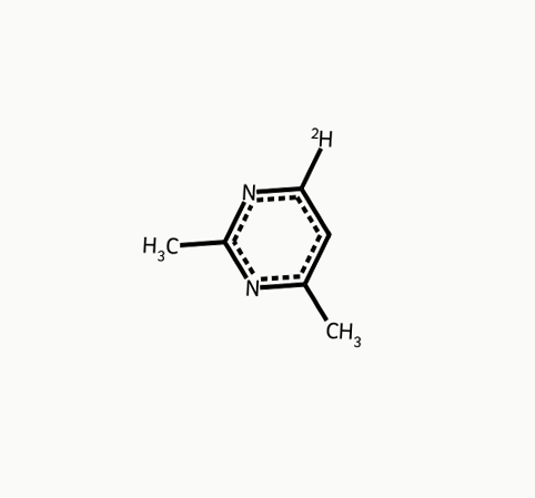 [2H]c1cc(C)nc(C)n1